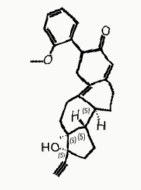 C#C[C@]1(O)CC[C@H]2[C@@H]3CCC4=CC(=O)C(c5ccccc5OC)CC4=C3CC[C@@]21C